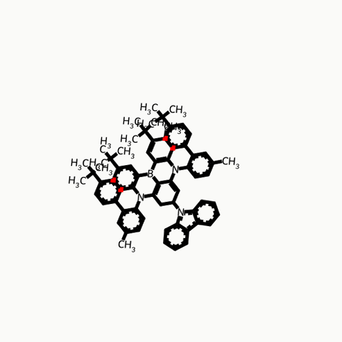 Cc1ccc(N2C3=CC(n4c5ccccc5c5ccccc54)CC4=C3B(C3=C2CC(C)C(C(C)(C)C)=C3)c2cc(C(C)(C)C)ccc2N4c2ccc(C)cc2-c2ccc(C(C)(C)C)cc2)c(-c2ccc(C(C)(C)C)cc2)c1